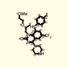 COCCO[C@H]1Cn2c(=O)nc(N3CCNCC3)c3cc(C(F)(F)F)cc(c32)[SH](c2ccc(F)cc2)C1